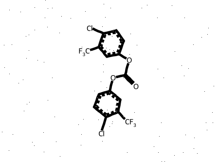 O=C(Oc1ccc(Cl)c(C(F)(F)F)c1)Oc1ccc(Cl)c(C(F)(F)F)c1